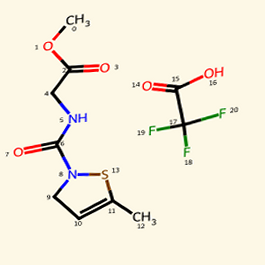 COC(=O)CNC(=O)N1CC=C(C)S1.O=C(O)C(F)(F)F